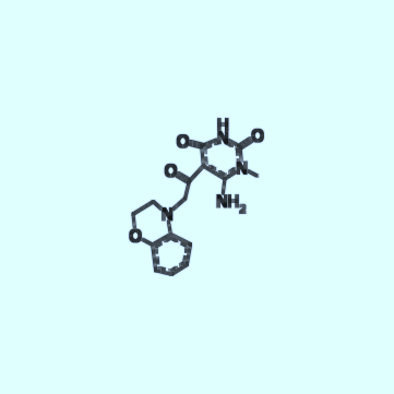 Cn1c(N)c(C(=O)CN2CCOc3ccccc32)c(=O)[nH]c1=O